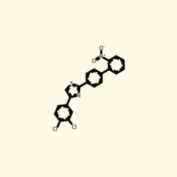 O=[N+]([O-])c1ccccc1-c1ccc(-c2nc(-c3ccc(Cl)c(Cl)c3)cs2)cc1